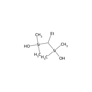 [CH2]CC([Si](C)(C)O)[Si](C)(C)O